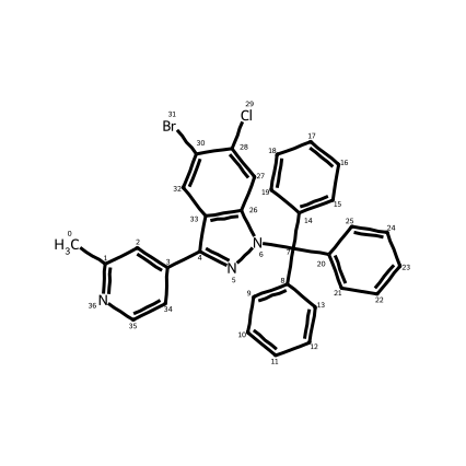 Cc1cc(-c2nn(C(c3ccccc3)(c3ccccc3)c3ccccc3)c3cc(Cl)c(Br)cc23)ccn1